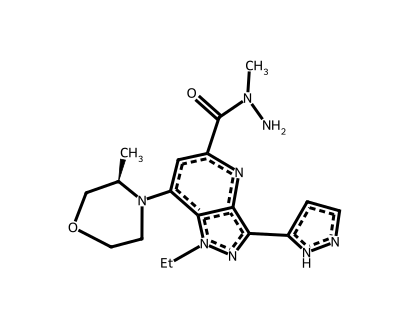 CCn1nc(-c2ccn[nH]2)c2nc(C(=O)N(C)N)cc(N3CCOC[C@H]3C)c21